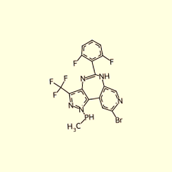 CPn1nc(C(F)(F)F)c2c1-c1cc(Br)ncc1NC(c1c(F)cccc1F)=N2